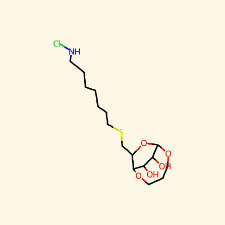 OC1C2OCCCOC(C(CSCCCCCCCNCl)O2)C1O